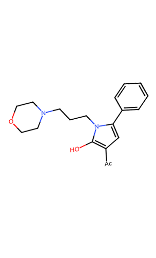 CC(=O)c1cc(-c2ccccc2)n(CCCN2CCOCC2)c1O